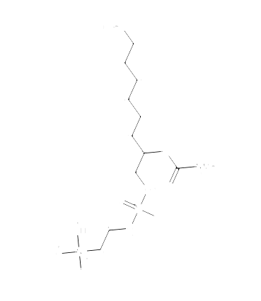 CCCCCCCCCCCCCCCCC(COP(=O)([O-])OCC[N+](C)(C)C)OC(=O)NC